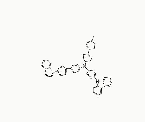 Cc1ccc(-c2ccc(N(c3ccc(-c4ccc(-c5cccc6ccccc56)cc4)cc3)c3ccc(-n4c5ccccc5c5ccccc54)cc3)cc2)cc1